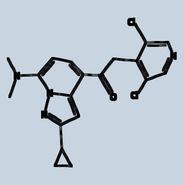 CN(C)c1ccc(C(=O)Cc2c(Cl)cncc2Cl)c2cc(C3CC3)nn12